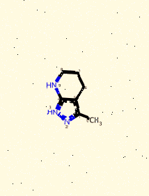 Cc1n[nH]c2c1CCCN2